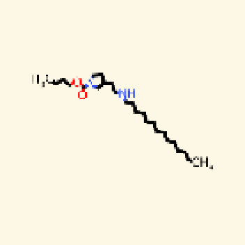 CCCCCCCCCCCCCCNCCC1CCN(C(=O)OCCCC)C1